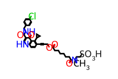 CN(CCS(=O)(=O)O)C(=O)CCCCCCC(=O)OCC#Cc1ccc2[nH]cc(C(=O)NCc3ccc(Cl)cc3)c(=O)c2c1C1CC1